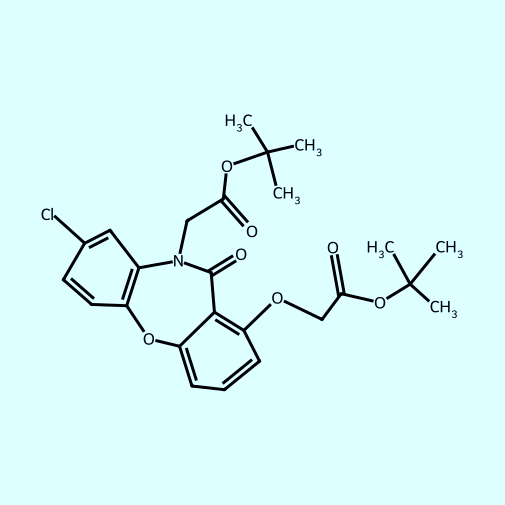 CC(C)(C)OC(=O)COc1cccc2c1C(=O)N(CC(=O)OC(C)(C)C)c1cc(Cl)ccc1O2